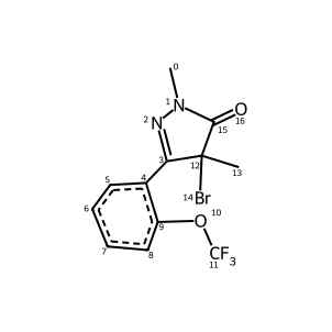 CN1N=C(c2ccccc2OC(F)(F)F)C(C)(Br)C1=O